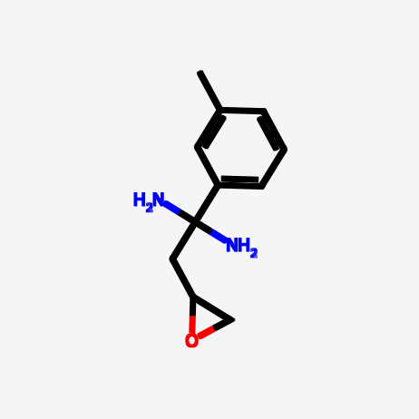 Cc1cccc(C(N)(N)CC2CO2)c1